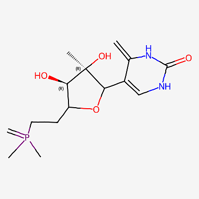 C=C1NC(=O)NC=C1C1OC(CCP(=C)(C)C)[C@@H](O)[C@@]1(C)O